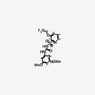 COc1cc(NC(=O)NS(=O)(=O)c2ncccc2OCC(F)(F)F)nc(OC)c1